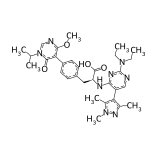 CCN(CC)c1ncc(-c2c(C)nn(C)c2C)c(N[C@@H](Cc2ccc(-c3c(OC)ncn(C(C)C)c3=O)cc2)C(=O)O)n1